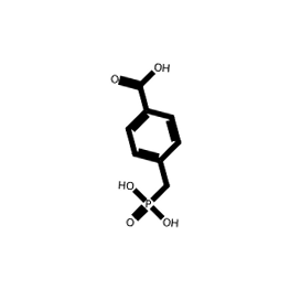 O=C(O)c1ccc(CP(=O)(O)O)cc1